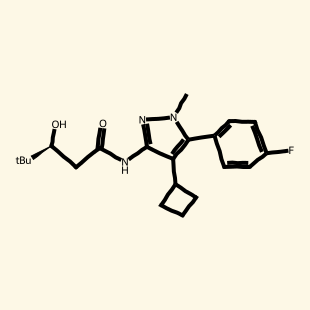 Cn1nc(NC(=O)C[C@H](O)C(C)(C)C)c(C2CCC2)c1-c1ccc(F)cc1